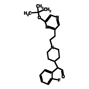 CC(C)(C)Oc1cncc(CCN2CCC(C(C=O)c3ccccc3F)CC2)n1